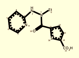 CCN(Nc1ccccn1)C(=O)c1ccc(C(=O)O)s1